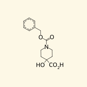 O=C(OCc1ccccc1)N1CCC(O)(C(=O)O)CC1